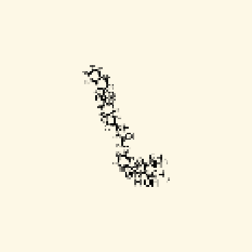 CNC(=O)C(NS(=O)(=O)c1cccc(OCC(O)CNC2COC3(CCN(S(=O)(=O)c4ccc5ccccc5c4)CC3)C2)c1)C(C)O